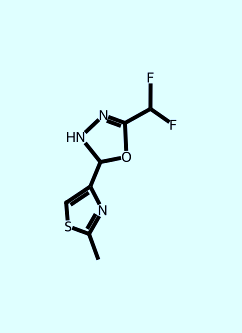 Cc1nc(C2NN=C(C(F)F)O2)cs1